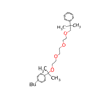 CCC(C)c1ccc(C(C)(C)OCCOCCOCCOCC(C)(C)c2ccccc2)cc1